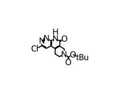 CC(C)(C)OC(=O)N1CCc2c(c(=O)[nH]c3nnc(Cl)cc23)C1